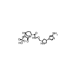 Nc1cn([C@H]2CN[C@@H](CONC(=O)[C@@H]3CC[C@@H]4CN3C(=O)N4OS(=O)(=O)O)C2)cn1